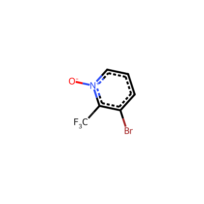 [O-][n+]1cccc(Br)c1C(F)(F)F